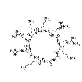 N=C(N)NCCC[C@@H]1NC(=O)[C@H](CCCCN)NC(=O)CNC(=O)CNC(=O)[C@H](CCCCN)NC(=O)[C@H](CCCNC(=N)N)NC(=O)[C@H](CCCNC(=N)N)NC(=O)[C@H](CCCCN)NC(=O)[C@H](CCCCN)NC(=O)[C@H](CCCNC(=N)N)NC1=O